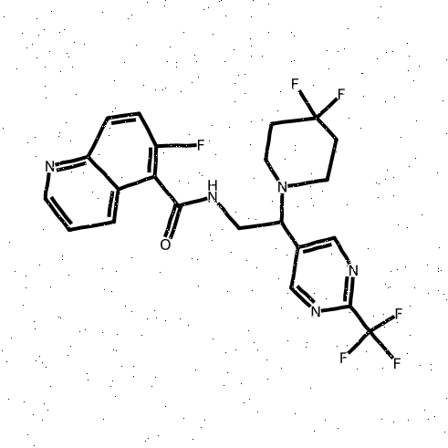 O=C(NCC(c1cnc(C(F)(F)F)nc1)N1CCC(F)(F)CC1)c1c(F)ccc2ncccc12